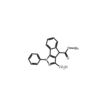 CCOC(=O)c1nn(-c2ccccc2)c2c1C(C(=O)OC(C)(C)C)c1ccccc1-2